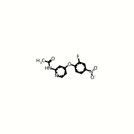 CC(=O)Nc1cc(Oc2ccc([N+](=O)[O-])cc2F)ccn1